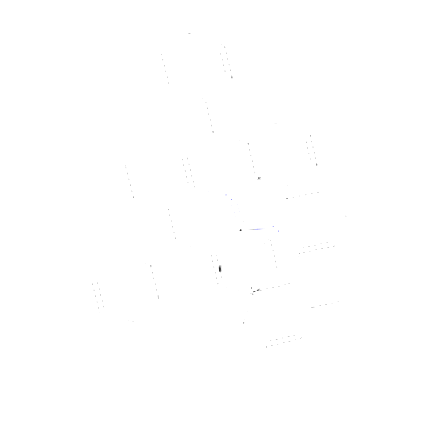 Cc1cc(C(c2ccccc2)c2ccccc2)c(-[n+]2cc3cccc(-c4c(C(C)C)cc(C(C)C)cc4C(C)C)n3c2)c(C(c2ccccc2)c2ccccc2)c1.[Cl-]